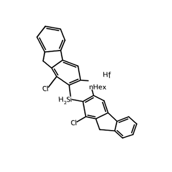 CCCCCCc1cc2c(c(Cl)c1[SiH2]c1c(C)cc3c(c1Cl)Cc1ccccc1-3)Cc1ccccc1-2.[Hf]